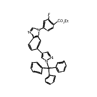 CCOC(=O)c1ccc(-n2cnc3ccc(-c4cnn(C(c5ccccc5)(c5ccccc5)c5ccccc5)c4)cc32)cc1F